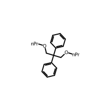 CCCOCC(COCCC)(c1ccccc1)c1ccccc1